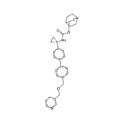 O=C(NC1(c2ccc(-c3ccc(COCc4cccnc4)cc3)cc2)CC1)OC1CN2CCC1CC2